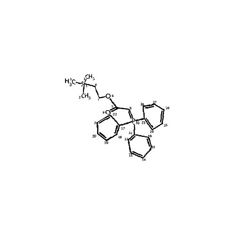 C[Si](C)(C)CCOC(=O)C=P(c1ccccc1)(c1ccccc1)c1ccccc1